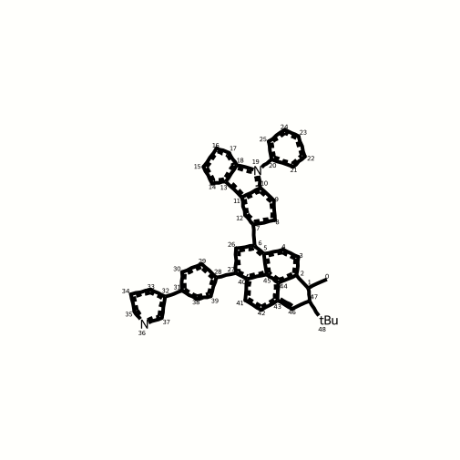 CC1c2ccc3c(-c4ccc5c(c4)c4ccccc4n5-c4ccccc4)cc(-c4ccc(-c5cccnc5)cc4)c4ccc(c2c43)=CC1C(C)(C)C